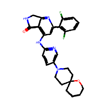 O=C1NCc2nc(-c3c(F)cccc3F)cc(Nc3ccc(N4CCC5(CCCCO5)CC4)cn3)c21